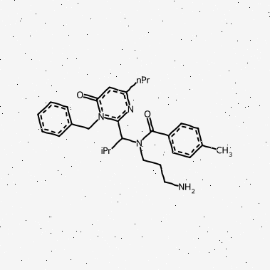 CCCc1cc(=O)n(Cc2ccccc2)c(C(C(C)C)N(CCCN)C(=O)c2ccc(C)cc2)n1